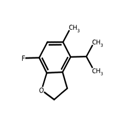 Cc1cc(F)c2c(c1C(C)C)CCO2